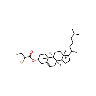 CCC(Br)C(=O)O[C@H]1CC[C@@]2(C)C(=CC[C@H]3[C@@H]4CC[C@H]([C@H](C)CCCC(C)C)[C@@]4(C)CC[C@@H]32)C1